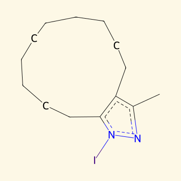 Cc1nn(I)c2c1CCCCCCCCCC2